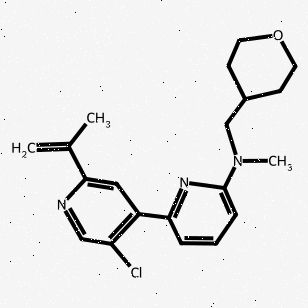 C=C(C)c1cc(-c2cccc(N(C)CC3CCOCC3)n2)c(Cl)cn1